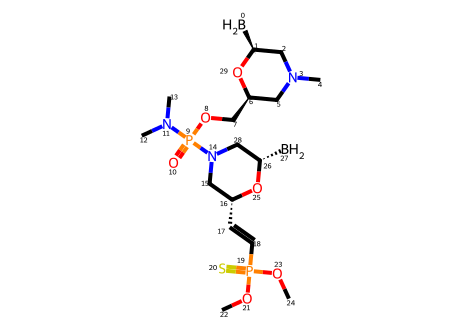 B[C@H]1CN(C)C[C@@H](COP(=O)(N(C)C)N2C[C@@H](/C=C/P(=S)(OC)OC)O[C@@H](B)C2)O1